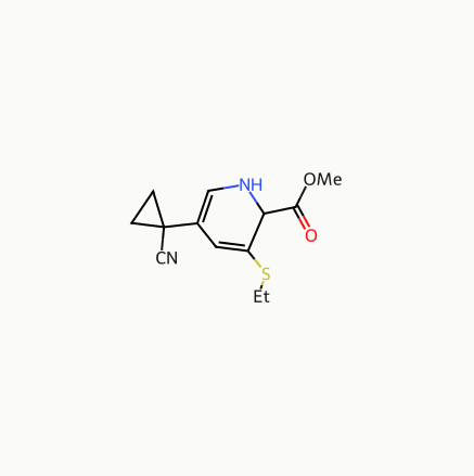 CCSC1=CC(C2(C#N)CC2)=CNC1C(=O)OC